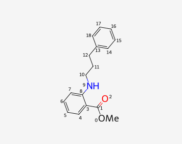 COC(=O)c1ccccc1NCCCc1ccccc1